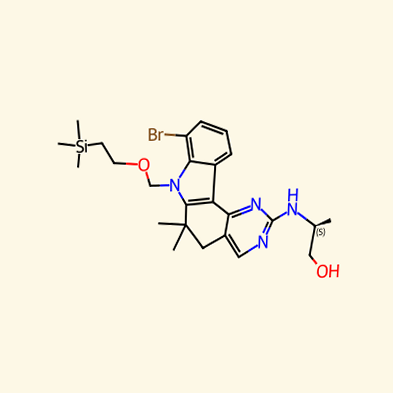 C[C@@H](CO)Nc1ncc2c(n1)-c1c(n(COCC[Si](C)(C)C)c3c(Br)cccc13)C(C)(C)C2